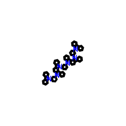 C1=C(n2c3ccccc3c3ccccc32)C=C(n2c3ccccc3c3c2ccc2c4ccccc4n(-c4cccc(-n5c6ccccc6c6c5ccc5c7ccccc7n(-c7cccc(-n8c9ccccc9c9ccccc98)c7)c56)c4)c23)CC1